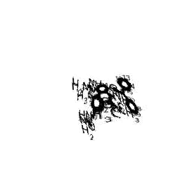 CN(C)C(=O)C(NC(=O)C(c1ccccc1)c1ccccc1)c1cccc(N(C)C(=N)N)c1-c1ccc(CNC(N)=O)cc1